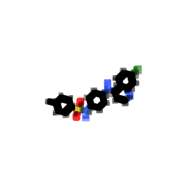 Cc1ccc(S(=O)(=O)NC2CCC(Nc3ccnc4cc(Cl)ccc34)CC2)cc1